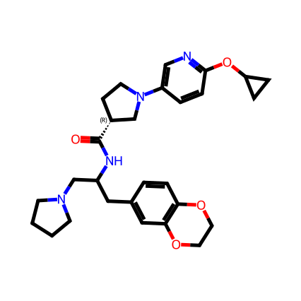 O=C(NC(Cc1ccc2c(c1)OCCO2)CN1CCCC1)[C@@H]1CCN(c2ccc(OC3CC3)nc2)C1